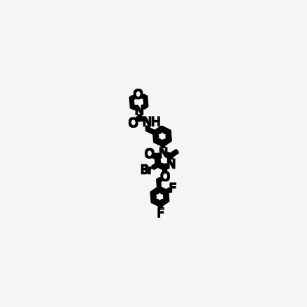 Cc1nc(OCc2ccc(F)cc2F)c(Br)c(=O)n1-c1cccc(CNC(=O)N2CCOCC2)c1